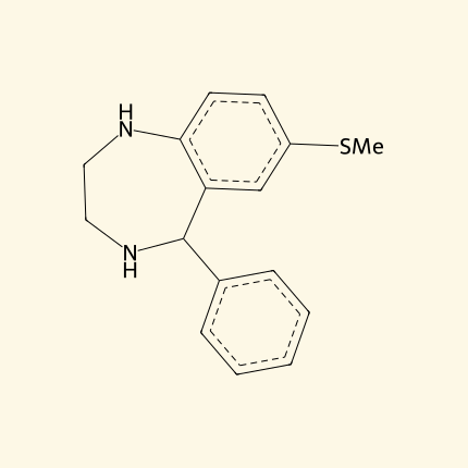 CSc1ccc2c(c1)C(c1ccccc1)NCCN2